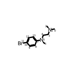 CN(C)CCN(C)c1ccc(Br)cc1